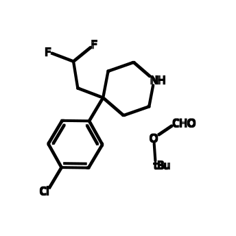 CC(C)(C)OC=O.FC(F)CC1(c2ccc(Cl)cc2)CCNCC1